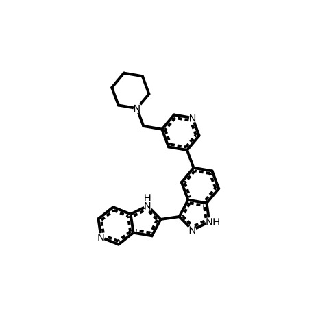 c1cc2[nH]c(-c3n[nH]c4ccc(-c5cncc(CN6CCCCC6)c5)cc34)cc2cn1